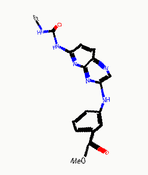 CCNC(=O)Nc1ccc2ncc(Nc3cccc(C(=O)OC)c3)nc2n1